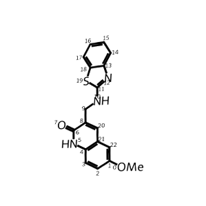 COc1ccc2[nH]c(=O)c(CNc3nc4ccccc4s3)cc2c1